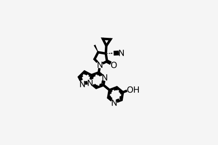 C[C@@H]1CN(c2nc(-c3cncc(O)c3)cn3nccc23)C(=O)[C@]1(C#N)C1CC1